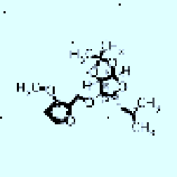 COc1ccoc1CO[C@@H]1[C@H]2OC(C)(C)O[C@H]2O[C@@H]1CC(C)C